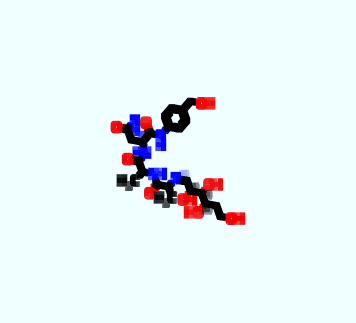 CC(/N=C\[C@H](O)[C@@H](O)[C@H](O)CCO)C(=O)NC(C)C(=O)NC(CC(N)=O)C(=O)Nc1ccc(CO)cc1